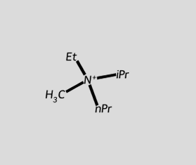 CCC[N+](C)(CC)C(C)C